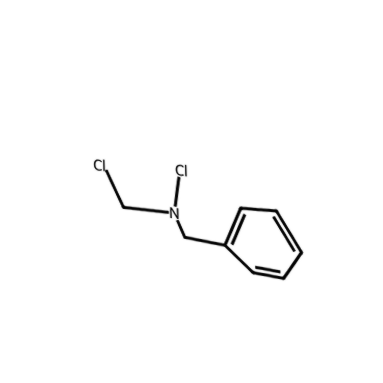 ClCN(Cl)Cc1ccccc1